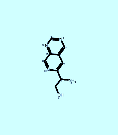 NC(CO)c1cc2cncnc2cn1